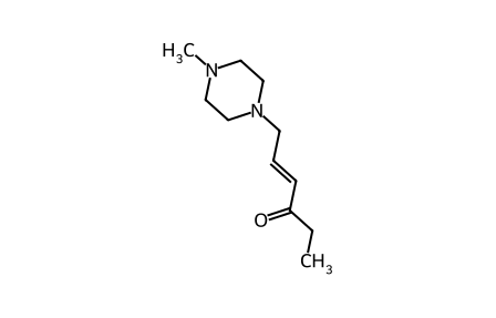 CCC(=O)/C=C/CN1CCN(C)CC1